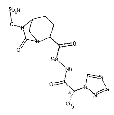 C[C@H](C(=O)NNC(=O)C1CCC2CN1C(=O)N2OS(=O)(=O)O)n1cnnn1